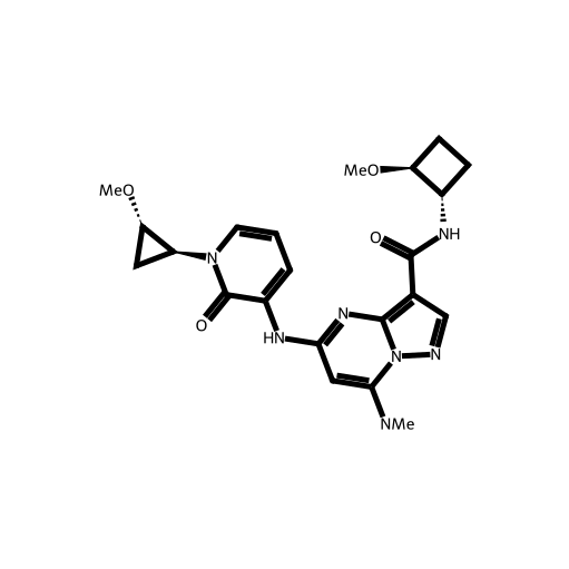 CNc1cc(Nc2cccn([C@H]3C[C@@H]3OC)c2=O)nc2c(C(=O)N[C@H]3CC[C@@H]3OC)cnn12